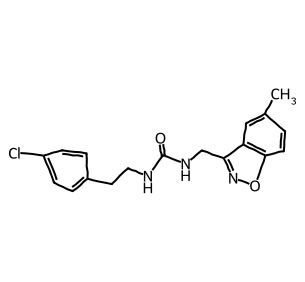 Cc1ccc2onc(CNC(=O)NCCc3ccc(Cl)cc3)c2c1